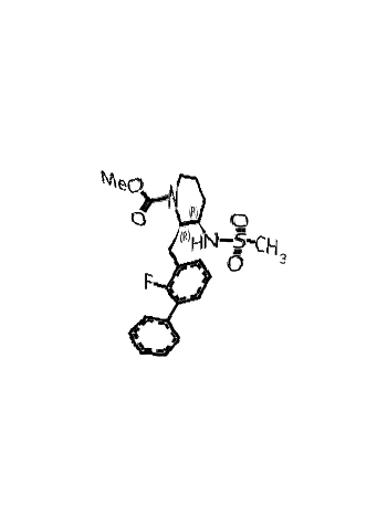 COC(=O)N1CCC[C@@H](NS(C)(=O)=O)[C@H]1Cc1cccc(-c2ccccc2)c1F